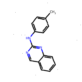 Cc1ccc(Nc2ncc3ccccc3n2)cc1